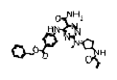 C=CC(=O)NC1CC[C@@H](N(C)c2nnc(C(N)=O)c(Nc3ccc(C(=O)OCc4ccccc4)cc3)n2)C1